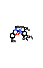 CCCCCCCN(Cc1ccc(CCCC)cc1)C(=O)Nc1cc(C)c(C)cc1C